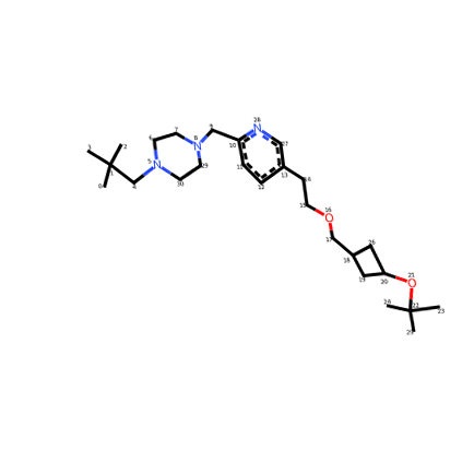 CC(C)(C)CN1CCN(Cc2ccc(CCOCC3CC(OC(C)(C)C)C3)cn2)CC1